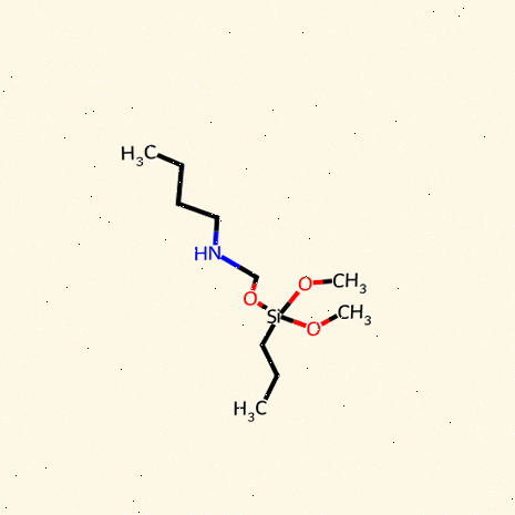 CCCCNCO[Si](CCC)(OC)OC